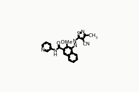 COc1c(C(=O)Nc2cccnc2)cc2ccccc2c1/N=N/c1snc(C)c1C#N